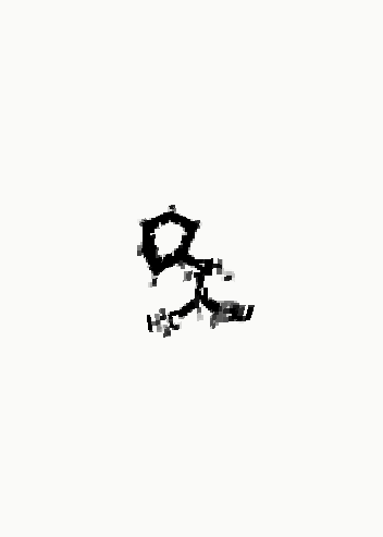 CCC(C)N(C)[SiH2]c1ccccc1